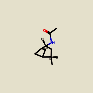 CC(=O)N[C@@H]1C[C@H](C)C2CC1C2